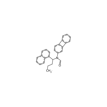 [CH2]CCC(c1cccc2ccccc12)N(C=O)c1ccc2c(c1)-c1ccccc1-2